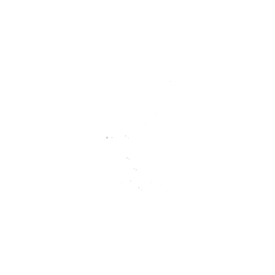 O=CN(/C=N/N1CC(=O)NC1=O)CC(=O)c1ccc(Br)cc1